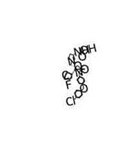 O=C(O)N[C@@H]1CCN(C[C@@H]2OC(=O)N(c3ccc(Oc4ccc(Cl)cc4)cc3)[C@H]2c2cccc(F)c2)C1